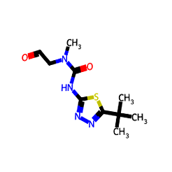 CN(CC=O)C(=O)Nc1nnc(C(C)(C)C)s1